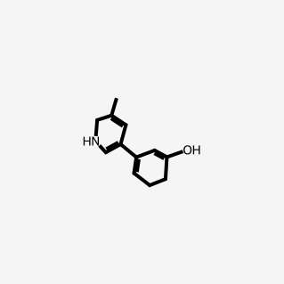 CC1=CC(C2=CCCC(O)=C2)=CNC1